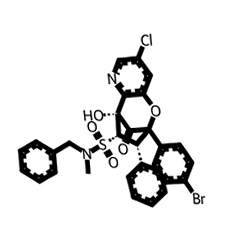 CN(Cc1ccccc1)S(=O)(=O)[C@H]1[C@@H](c2ccccc2)C2(c3ccc(Br)cc3)Oc3cc(Cl)cnc3[C@@]1(O)C2=O